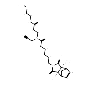 C#CCN(CCC(=O)NCCOC)C(=O)CCCCCN1C(=O)[C@@H]2[C@H](C1=O)[C@H]1C=C[C@@H]2C1